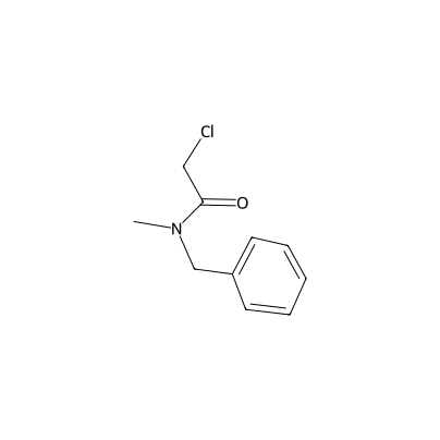 CN(Cc1ccccc1)C(=O)CCl